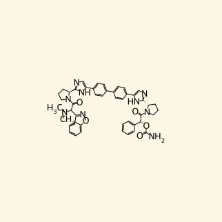 CN(C)C(C(=O)N1CCC[C@H]1c1ncc(-c2ccc(-c3ccc(-c4cnc([C@@H]5CCCN5C(=O)[C@H](OC(N)=O)c5ccccc5)[nH]4)cc3)cc2)[nH]1)c1noc2ccccc12